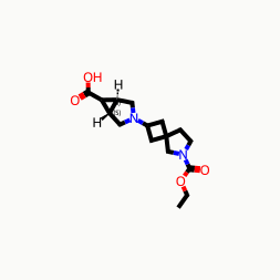 CCOC(=O)N1CCC2(CC(N3C[C@@H]4C(C(=O)O)[C@H]4C3)C2)C1